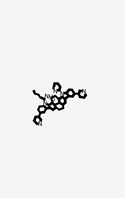 C=CC/C=C(\N)n1c2c(c3cc4c5c(c31)CCc1c-5c(cc3c5cc(-c6cccnc6)ccc5n(-c5ccccn5)c13)CC4)C=C(c1cccnc1)CC2